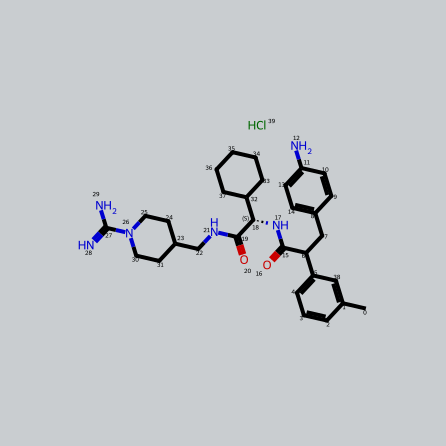 Cc1cccc(C(Cc2ccc(N)cc2)C(=O)N[C@H](C(=O)NCC2CCN(C(=N)N)CC2)C2CCCCC2)c1.Cl